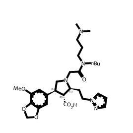 CCCCN(CCCN(C)C)C(=O)CN1C[C@H](c2cc(OC)c3c(c2)OCO3)[C@@H](C(=O)O)[C@@H]1CCn1cccn1